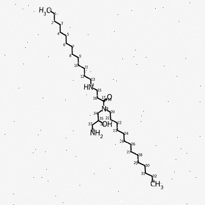 CCCCCCCCCCCCCCNCCC(=O)N(CCCCCCCCCCCCCC)CC(O)CN